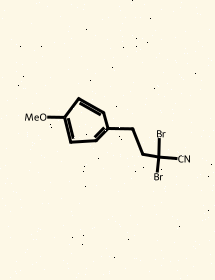 COc1ccc(CCC(Br)(Br)C#N)cc1